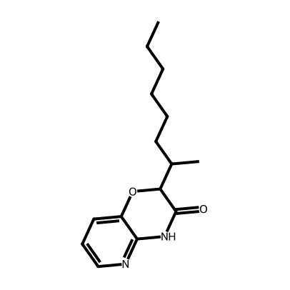 CCCCCCC(C)C1Oc2cccnc2NC1=O